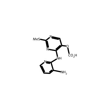 CSc1ncc(OC(=O)O)c(Nc2ncccc2N)n1